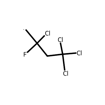 [CH2]C(F)(Cl)CC(Cl)(Cl)Cl